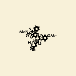 CNC(=O)N1C(=O)C2(CCN(C(=O)[C@H](Cc3ccc(OC)cc3)NC(=O)C(N)Cc3cncn3C)CC2)N(c2ccccc2)[C@H]1C